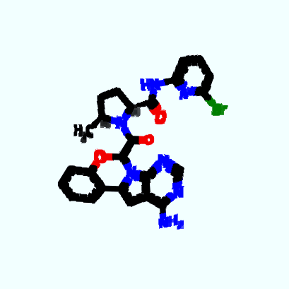 C[C@H]1CC[C@H](C(=O)Nc2cccc(Br)n2)N1C(=O)C1Oc2ccccc2-c2cc3c(N)ncnc3n21